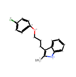 CCOC(=O)c1[nH]c2ccccc2c1CCCOc1ccc(Cl)cc1